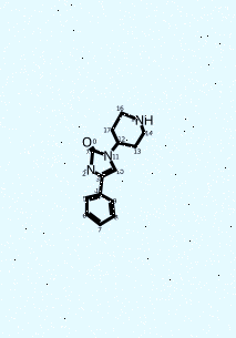 O=C1[N]C(c2ccccc2)=CN1C1CCNCC1